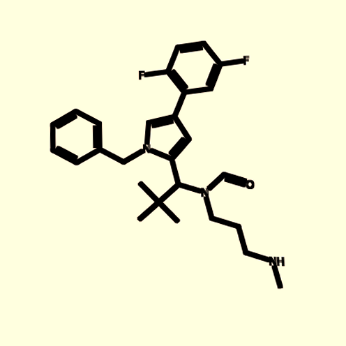 CNCCCN(C=O)C(c1cc(-c2cc(F)ccc2F)cn1Cc1ccccc1)C(C)(C)C